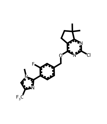 Cn1cc(C(F)(F)F)nc1-c1ccc(COc2nc(Cl)nc3c2CCC3(C)C)cc1F